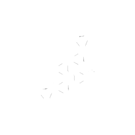 N#Cc1cccc(-c2c(-c3ccc4oc5ccccc5c4c3)cccc2-c2cccc3c2oc2ccccc23)c1